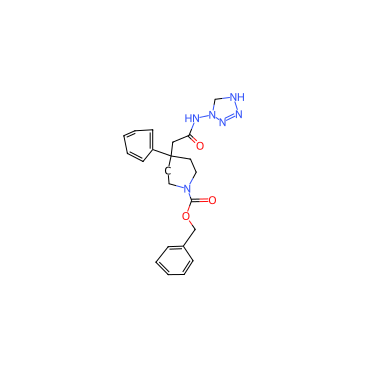 O=C(CC1(c2ccccc2)CCN(C(=O)OCc2ccccc2)CC1)NN1CNN=N1